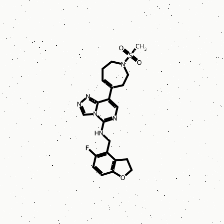 CS(=O)(=O)N1CCC=C(c2cnc(NCc3c(F)ccc4c3CCO4)n3cnnc23)CC1